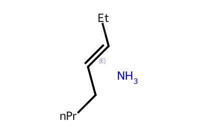 CC/C=C/CCCC.N